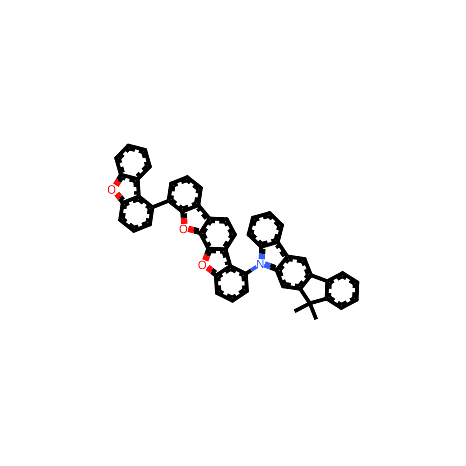 CC1(C)c2ccccc2-c2cc3c4ccccc4n(-c4cccc5oc6c(ccc7c8cccc(-c9cccc%10oc%11ccccc%11c9%10)c8oc76)c45)c3cc21